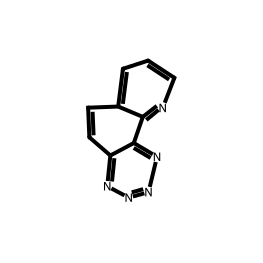 c1cnc2c(c1)ccc1nnnnc12